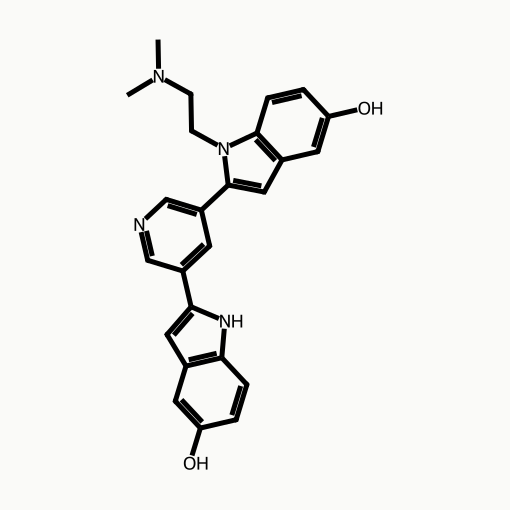 CN(C)CCn1c(-c2cncc(-c3cc4cc(O)ccc4[nH]3)c2)cc2cc(O)ccc21